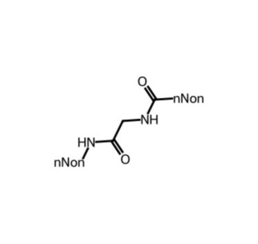 CCCCCCCCCNC(=O)CNC(=O)CCCCCCCCC